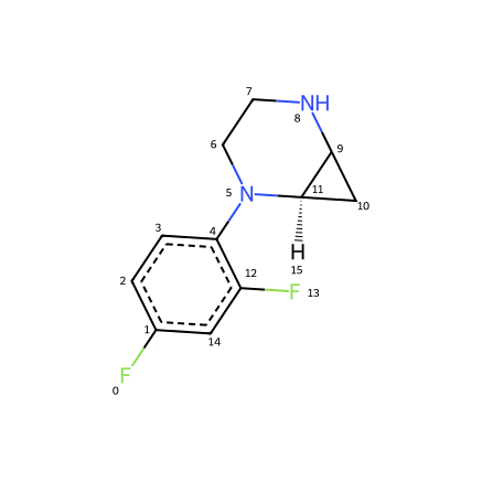 Fc1ccc(N2CCNC3C[C@H]32)c(F)c1